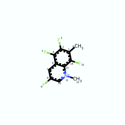 Cc1c(F)c(F)c2cc(F)c[n+](C)c2c1F